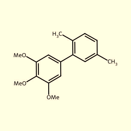 COc1cc(-c2cc(C)ccc2C)cc(OC)c1OC